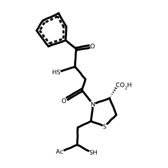 CC(=O)C(S)CC1SC[C@@H](C(=O)O)N1C(=O)CC(S)C(=O)c1ccccc1